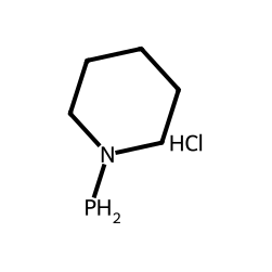 Cl.PN1CCCCC1